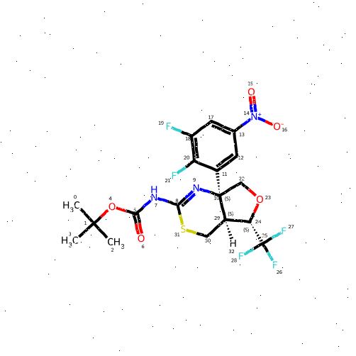 CC(C)(C)OC(=O)NC1=N[C@@]2(c3cc([N+](=O)[O-])cc(F)c3F)CO[C@H](C(F)(F)F)[C@H]2CS1